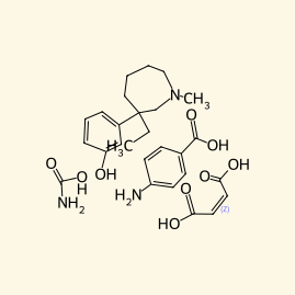 CCC1(c2cccc(O)c2)CCCCN(C)C1.NC(=O)O.Nc1ccc(C(=O)O)cc1.O=C(O)/C=C\C(=O)O